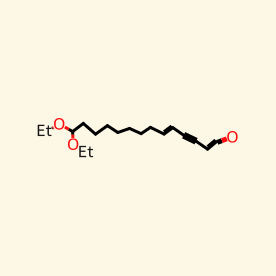 CCOC(CCCCCCCC=CC#CC=C=O)OCC